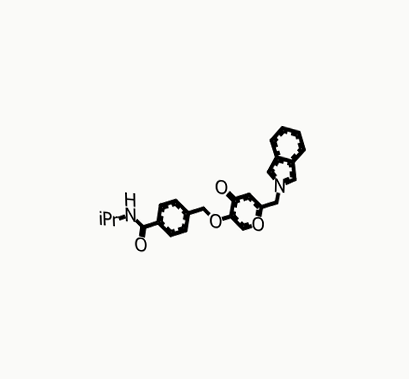 CC(C)NC(=O)c1ccc(COc2coc(Cn3cc4ccccc4c3)cc2=O)cc1